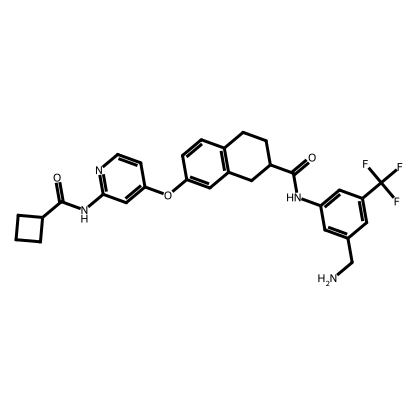 NCc1cc(NC(=O)C2CCc3ccc(Oc4ccnc(NC(=O)C5CCC5)c4)cc3C2)cc(C(F)(F)F)c1